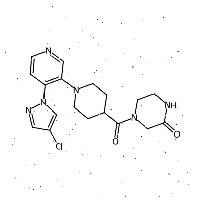 O=C1CN(C(=O)C2CCN(c3cnccc3-n3cc(Cl)cn3)CC2)CCN1